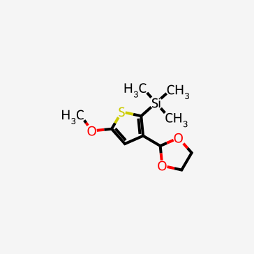 COc1cc(C2OCCO2)c([Si](C)(C)C)s1